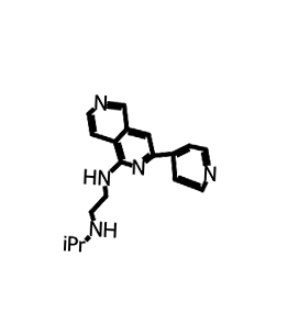 CC(C)NCCNc1nc(-c2ccncc2)cc2cnccc12